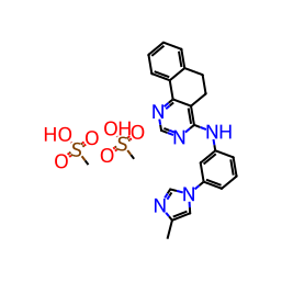 CS(=O)(=O)O.CS(=O)(=O)O.Cc1cn(-c2cccc(Nc3ncnc4c3CCc3ccccc3-4)c2)cn1